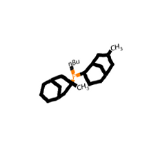 CCCCP(C1CCC2CC(C)CC1C2)C1(C)CC2CCCC(C2)C1